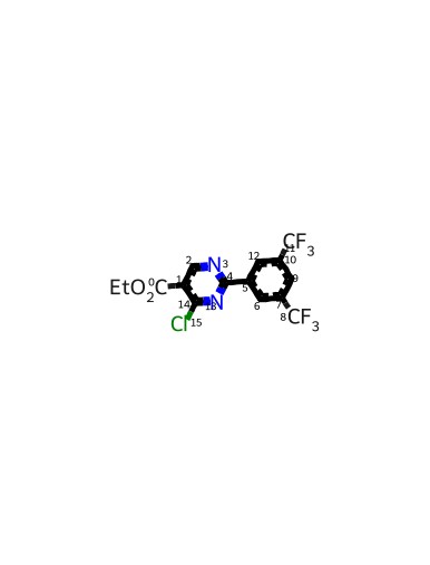 CCOC(=O)c1cnc(-c2cc(C(F)(F)F)cc(C(F)(F)F)c2)nc1Cl